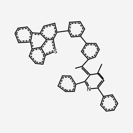 CC\C=C(/N=C(\C(CC)=C(/C)c1cccc(-c2cccc(-c3ccc4c5ccccc5c5cccc6sc3c4c65)c2)c1)c1ccccc1)c1ccccc1